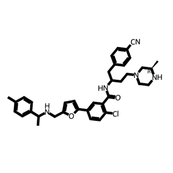 Cc1ccc(C(C)NCc2ccc(-c3ccc(Cl)c(C(=O)NC(CCN4CCN[C@H](C)C4)Cc4ccc(C#N)cc4)c3)o2)cc1